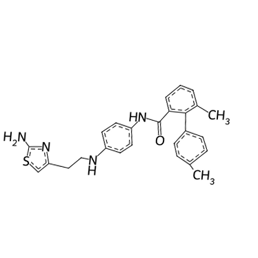 Cc1ccc(-c2c(C)cccc2C(=O)Nc2ccc(NCCc3csc(N)n3)cc2)cc1